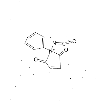 O=C=N[N+]1(c2ccccc2)C(=O)C=CC1=O